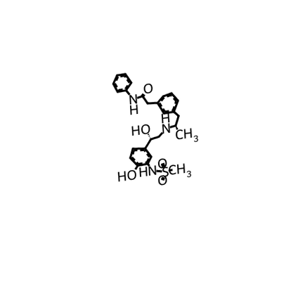 C[C@H](Cc1cccc(CC(=O)Nc2ccccc2)c1)NC[C@@H](O)c1ccc(O)c(NS(C)(=O)=O)c1